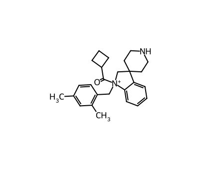 Cc1ccc(C[N+]2(C(=O)C3CCC3)CC3(CCNCC3)c3ccccc32)c(C)c1